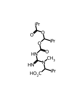 CC(C)C(=O)OC(OC(=O)NC(=N)N(C)C(C(=O)O)C(C)C)C(C)C